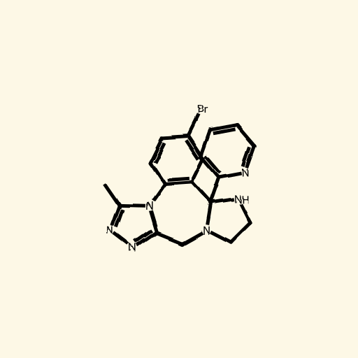 Cc1nnc2n1-c1ccc(Br)cc1C1(c3ccccn3)NCCN1C2